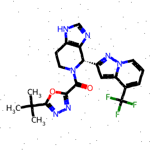 CC(C)(C)c1nnc(C(=O)N2CCc3[nH]cnc3[C@@H]2c2cc3c(C(F)(F)F)cccn3n2)o1